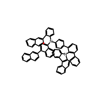 c1ccc(-c2cccc(-c3ccc(N(c4ccccc4-c4ccc5ccccc5c4)c4ccc(-c5ccc6ccccc6c5)c5ccccc45)cc3)c2-n2c3ccccc3c3c4ccccc4ccc32)cc1